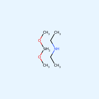 CCNCC.CO[SiH2]OC